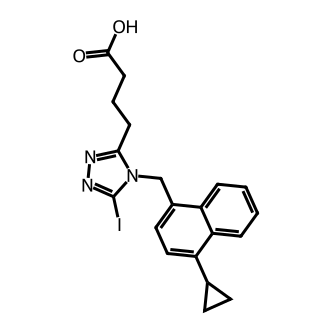 O=C(O)CCCc1nnc(I)n1Cc1ccc(C2CC2)c2ccccc12